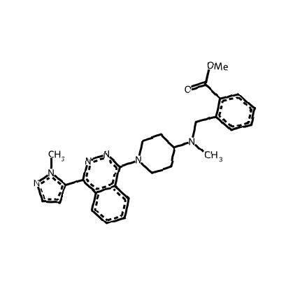 COC(=O)c1ccccc1CN(C)C1CCN(c2nnc(-c3ccnn3C)c3ccccc23)CC1